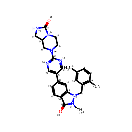 Cc1ccc(C#N)c(Cn2c3cc(-c4cnc(N5CCN6C(=O)NCC6C5)nc4)ccc3c(=O)n2C)c1